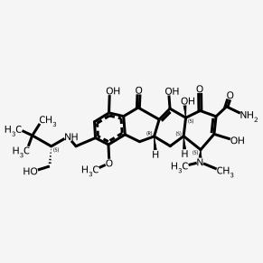 COc1c(CN[C@H](CO)C(C)(C)C)cc(O)c2c1C[C@H]1C[C@H]3[C@H](N(C)C)C(O)=C(C(N)=O)C(=O)[C@@]3(O)C(O)=C1C2=O